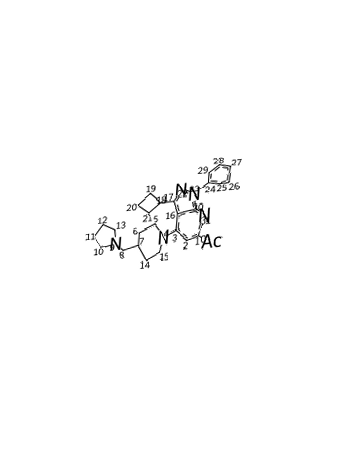 CC(=O)c1cc(N2CCC(CN3CCCC3)CC2)c2c(C3CCC3)nn(-c3ccccc3)c2n1